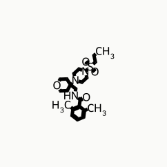 CCCS(=O)(=O)N1CCN(C2(CNC(=O)c3c(C)cccc3C)CCOCC2)CC1